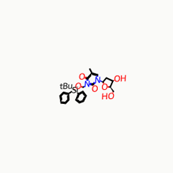 Cc1cn([C@H]2C[C@@H](O)[C@@H](CO)O2)c(=O)n(CO[Si](c2ccccc2)(c2ccccc2)C(C)(C)C)c1=O